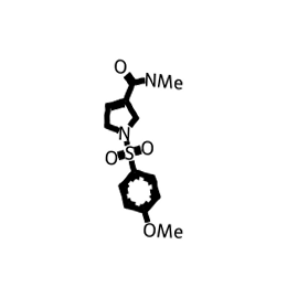 CNC(=O)C1=CCN(S(=O)(=O)c2ccc(OC)cc2)C1